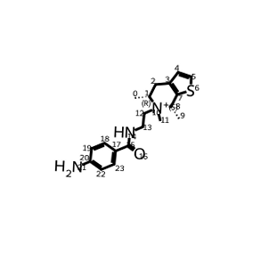 C[C@@H]1Cc2ccsc2[C@H](C)[N+]1(C)CCNC(=O)c1ccc(N)cc1